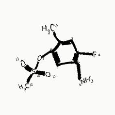 Cc1cc(F)c(N)cc1OS(C)(=O)=O